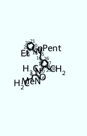 C=CCCC(C(=O)NC)N(C)Cc1cc(CCN(CCCCC)Cc2ccccc2CC)ccc1C=C